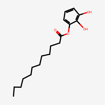 CCCCCCCCCCCC(=O)Oc1cccc(O)c1O